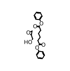 O=C(CCCCC(=O)Oc1ccccc1)Oc1ccccc1.OCC1CO1